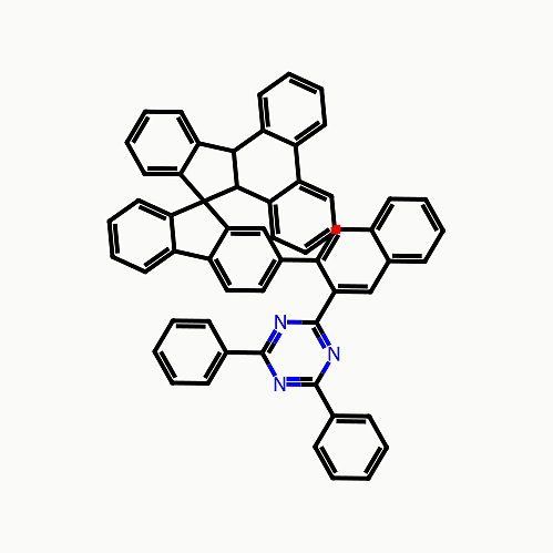 c1ccc(-c2nc(-c3ccccc3)nc(-c3cc4ccccc4cc3-c3ccc4c(c3)C3(c5ccccc5-4)c4ccccc4C4c5ccccc5-c5ccccc5C43)n2)cc1